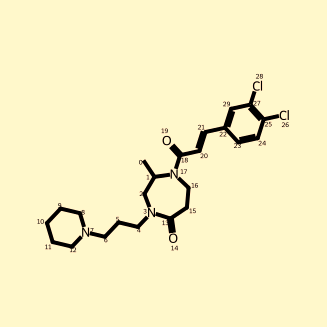 CC1CN(CCCN2CCCCC2)C(=O)CCN1C(=O)C=Cc1ccc(Cl)c(Cl)c1